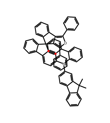 CC1(C)c2ccccc2-c2ccc(N(c3ccc4c(c3)C3(c5ccccc5-4)c4ccccc4-c4c(-c5ccccc5)oc(-c5ccccc5)c43)c3ccccc3-c3ccccc3)cc21